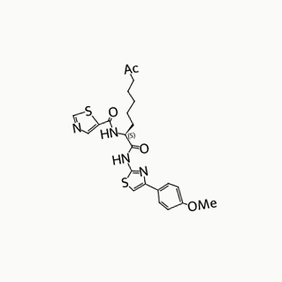 COc1ccc(-c2csc(NC(=O)[C@H](CCCCCC(C)=O)NC(=O)c3cncs3)n2)cc1